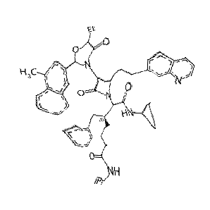 CCC1OC(c2cc(C)c3ccccc3c2)N(C2C(=O)N(C(C(=O)NC3CC3)[C@@H](CCCC(=O)NC(C)C)Cc3ccccc3)C2CCc2ccc3cccnc3c2)C1=O